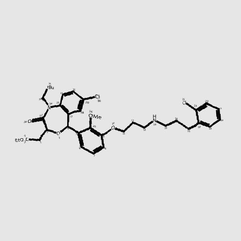 CCOC(=O)CC1OC(c2cccc(OCCCNCCCc3ccccc3Cl)c2OC)c2cc(Cl)ccc2N(CC(C)(C)C)C1=O